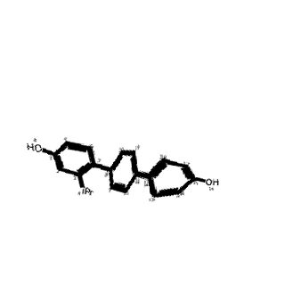 CC(C)c1cc(O)ccc1-c1ccc(-c2ccc(O)cc2)cc1